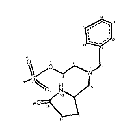 CS(=O)(=O)OCCN(Cc1ccccc1)CC1CCC(=O)N1